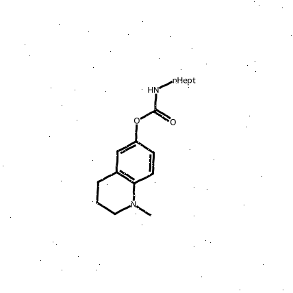 CCCCCCCNC(=O)Oc1ccc2c(c1)CCCN2C